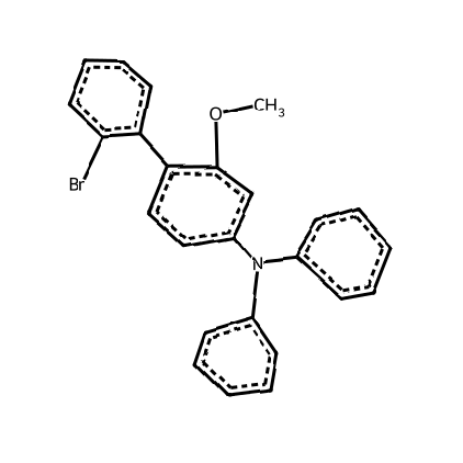 COc1cc(N(c2ccccc2)c2ccccc2)ccc1-c1ccccc1Br